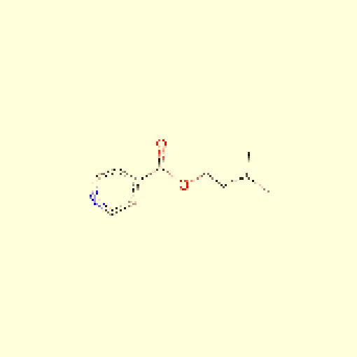 CC(C)CCOC(=O)c1ccncc1